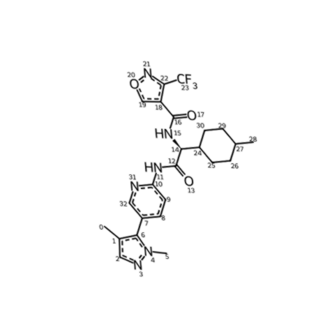 Cc1cnn(C)c1-c1ccc(NC(=O)[C@@H](NC(=O)c2conc2C(F)(F)F)C2CCC(C)CC2)nc1